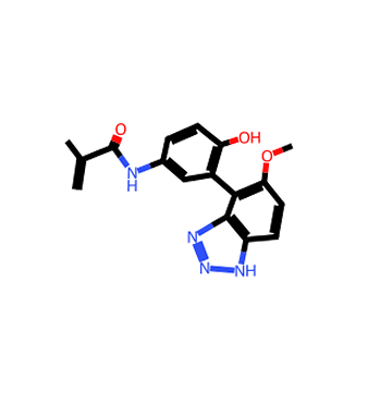 C=C(C)C(=O)Nc1ccc(O)c(-c2c(OC)ccc3[nH]nnc23)c1